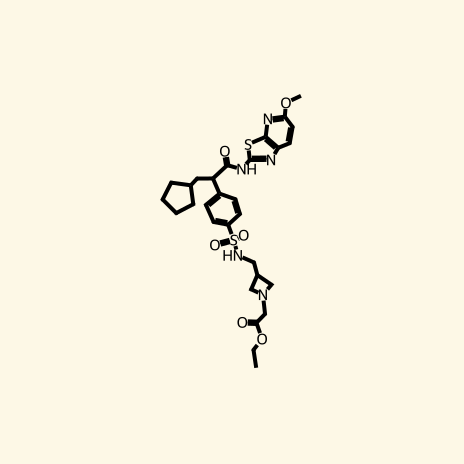 CCOC(=O)CN1CC(CNS(=O)(=O)c2ccc(C(CC3CCCC3)C(=O)Nc3nc4ccc(OC)nc4s3)cc2)C1